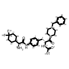 CCC(=O)N[C@H](Cc1ccc(NC(=O)[C@@H](N)C2CCC(F)(F)CC2)cc1)C(=O)N1CCN(Cc2ccccc2)CC1